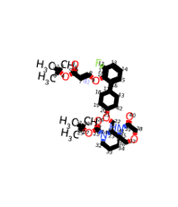 CC(C)(C)OC(=O)/C=C/Oc1c(F)cccc1C1CCC(OC[C@@H]2N(C(=O)OC(C)(C)C)CCC[C@@]23COCC(=O)N3)CC1